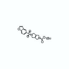 CC(C)(C)OC(=O)N1CC2=C(C1)CN(S(=O)(=O)c1ccc3occc3c1)C2